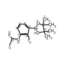 CC1(C)OB(c2cccc(OC(F)F)c2F)OC1(C)C